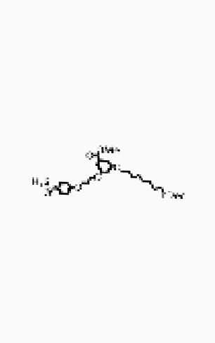 CCCCCCCCCCCCCCCCCCOc1cc(OCCCOc2ccc([S+](C)[O-])cc2)cc(C(=O)OC)c1